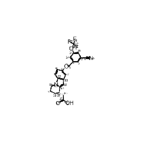 N#Cc1cc(COc2ccc3c(c2)cc2n3CCC[C@H]2CC(=O)O)cc(OC(F)(F)F)c1